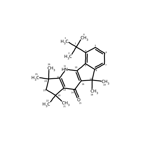 CC(C)(C)c1cccc2c1-c1[nH]c3c(c(=O)c1C2(C)C)C(C)(C)CC3(C)C